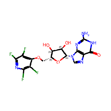 Nc1nc2c(ncn2[C@@H]2O[C@H](COc3c(F)c(F)nc(F)c3F)[C@@H](O)[C@H]2O)c(=O)[nH]1